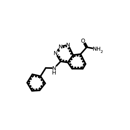 NC(=O)c1cccc2c(NCc3ccccc3)nnnc12